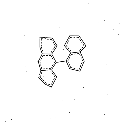 [c]1c2ccccc2c(-c2cccc3ccccc23)c2ccccc12